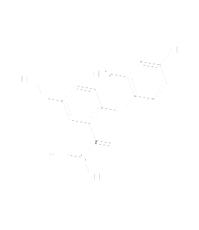 COc1ccc(Sc2ccc(Cl)cc2N)c(C(=O)N(C)C)c1